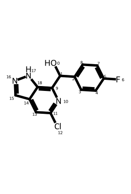 OC(c1ccc(F)cc1)c1nc(Cl)cc2cn[nH]c12